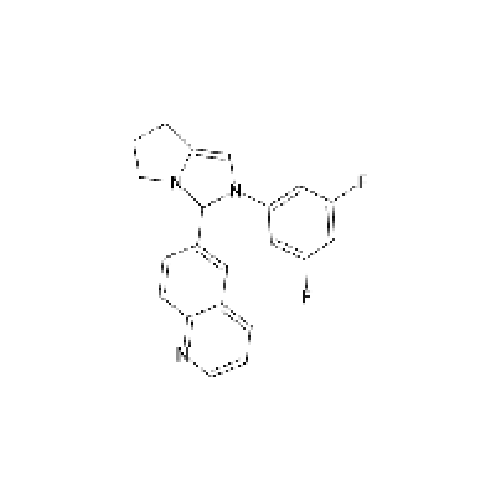 Fc1cc(F)cc(N2C=C3CCCN3C2c2ccc3ncccc3c2)c1